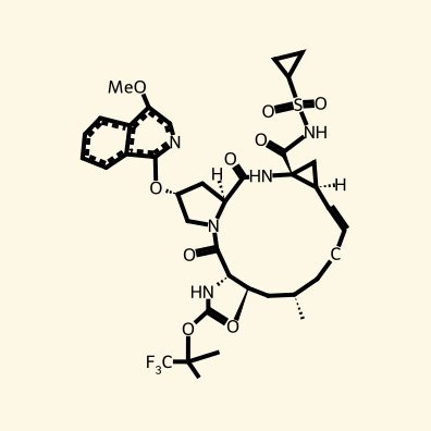 COc1cnc(O[C@@H]2C[C@H]3C(=O)N[C@]4(C(=O)NS(=O)(=O)C5CC5)C[C@H]4/C=C\CC[C@H](C)C[C@@H](C)[C@H](NC(=O)OC(C)(C)C(F)(F)F)C(=O)N3C2)c2ccccc12